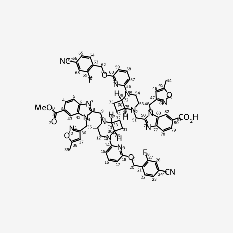 COC(=O)c1ccc2nc(CN3CCN(c4cccc(OCc5ccc(C#N)cc5F)n4)[C@H]4CC[C@H]43)n(Cc3cc(C)on3)c2c1.Cc1cc(Cn2c(CN3CCN(c4cccc(OCc5ccc(C#N)cc5F)n4)[C@H]4CC[C@H]43)nc3ccc(C(=O)O)cc32)no1